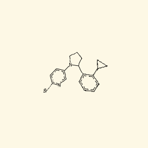 Brc1ccc(N2CCCC2c2ccccc2C2CC2)cn1